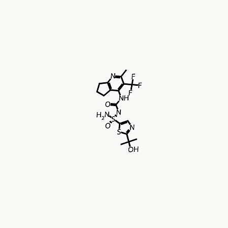 Cc1nc2c(c(NC(=O)N=S(N)(=O)c3cnc(C(C)(C)O)s3)c1C(F)(F)F)CCC2